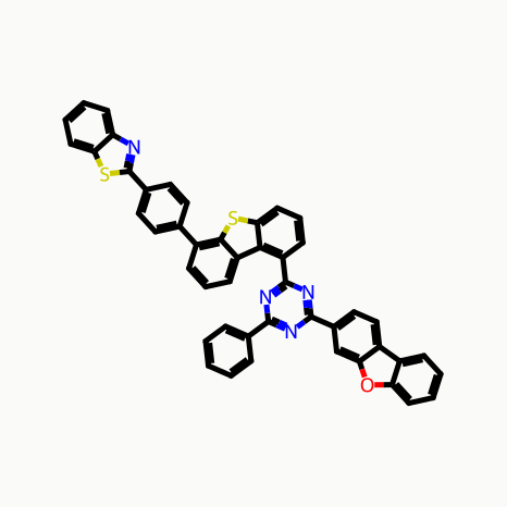 c1ccc(-c2nc(-c3ccc4c(c3)oc3ccccc34)nc(-c3cccc4sc5c(-c6ccc(-c7nc8ccccc8s7)cc6)cccc5c34)n2)cc1